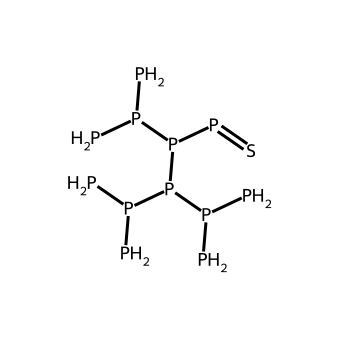 PP(P)P(P=S)P(P(P)P)P(P)P